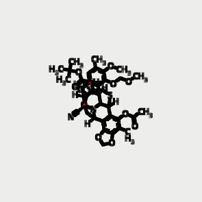 COCOc1c(OC)c(C)cc2c1[C@H]1C3[C@@H]4SCC(NC(=O)OC(C)(C)C)C(=O)OC[C@@H](c5c6c(c(C)c(OC(C)=O)c54)OCO6)N3[C@@H](C#N)[C@H](C2)N1C